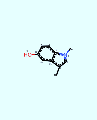 Cc1cn(C)c2ccc(O)cc12